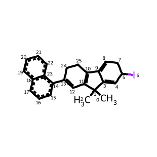 CC1(C)C2=CC(I)CC=C2C2=C1C=C(c1cccc3ccccc13)CC2